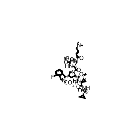 C=C[C@@H]1C[C@]1(NC(=O)[C@@H]1C[C@@H](C2c3cccc(F)c3CN2C(=O)O)CN1C(=O)[C@H](CNC(=O)C=CCN(C)C)NC(=O)OC(C)(C)C)C(=O)NS(=O)(=O)C1CC1